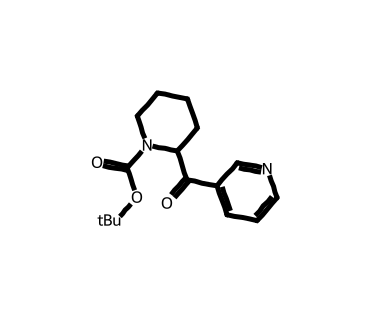 CC(C)(C)OC(=O)N1CCCCC1C(=O)c1cccnc1